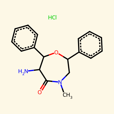 CN1CC(c2ccccc2)OC(c2ccccc2)C(N)C1=O.Cl